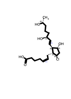 C[C@@H](O)CCC[C@H](O)/C=C/[C@@H]1[C@@H](C/C=C\CCCC(=O)O)[C@H](Cl)C[C@H]1O